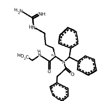 N=C(N)NCCC[C@H](C(=O)NCC(=O)O)N(C(=O)Cc1ccccc1)C(c1ccccc1)c1ccccc1